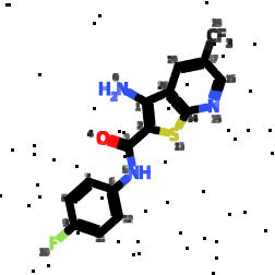 Nc1c(C(=O)Nc2ccc(F)cc2)sc2ncc(C(F)(F)F)cc12